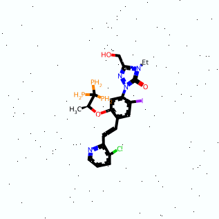 CCn1c(CO)nn(-c2cc(O[C@@H](C)C(P)(P)P)c(/C=C/c3ncccc3Cl)cc2I)c1=O